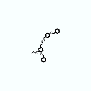 COc1cc(CSOSCc2ccc(OCc3ccccc3)cc2)ccc1OCc1ccccc1